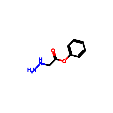 NNCC(=O)Oc1ccccc1